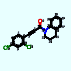 O=C(C#Cc1ccc(Cl)cc1Cl)N1CCCc2ccccc21